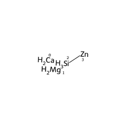 [CaH2].[MgH2].[SiH3][Zn]